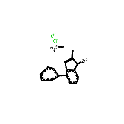 CC1=Cc2c(-c3ccccc3)cccc2[CH]1[Zr+2].C[SiH2]C.[Cl-].[Cl-]